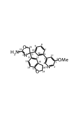 COc1cncc(-c2cccc(C3(c4ccc5c(c4)CCO5)COC(N)=N3)c2)c1